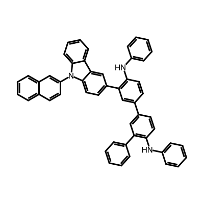 c1ccc(Nc2ccc(-c3ccc(Nc4ccccc4)c(-c4ccc5c(c4)c4ccccc4n5-c4ccc5ccccc5c4)c3)cc2-c2ccccc2)cc1